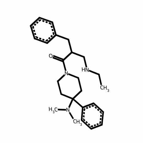 CCNCC(Cc1ccccc1)C(=O)N1CCC(c2ccccc2)(N(C)C)CC1